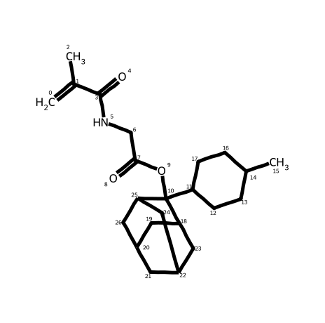 C=C(C)C(=O)NCC(=O)OC1(C2CCC(C)CC2)C2CC3CC(C2)CC1C3